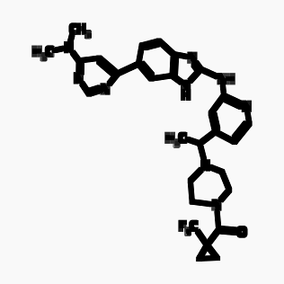 CC(c1ccnc(Nc2nc3ccc(-c4cc(N(C)C)ncn4)cc3[nH]2)c1)N1CCN(C(=O)C2(C(F)(F)F)CC2)CC1